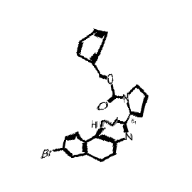 O=C(OCc1ccccc1)N1CCC[C@H]1c1nc2c([nH]1)-c1ccc(Br)cc1CC2